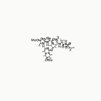 C=C[C@@H]1C[C@]1(NC(=O)[C@@H]1C[C@@H](Oc2nccc3cc(OC)ccc23)CN1C(O)[C@@H](NC(=O)N[C@@H](C)C(=O)OC)C(C)(C)C)C(=O)NS(=O)(=O)C1CC1